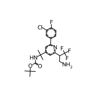 CC(C)(C)OC(=O)NC(C)(C)c1cc(-c2ccc(F)c(Cl)c2)nc(C(CN)C(F)(F)F)c1